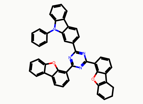 C1=Cc2oc3c(-c4nc(-c5ccc6c7ccccc7n(-c7ccccc7)c6c5)nc(-c5cccc6c5oc5ccccc56)n4)cccc3c2CC1